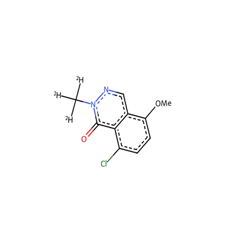 [2H]C([2H])([2H])n1ncc2c(OC)ccc(Cl)c2c1=O